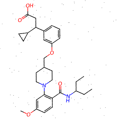 CCC(CC)NC(=O)c1ccc(OC)cc1N1CCC(COc2cccc(C(CC(=O)O)C3CC3)c2)CC1